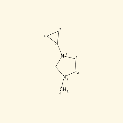 CN1CCN(C2CC2)C1